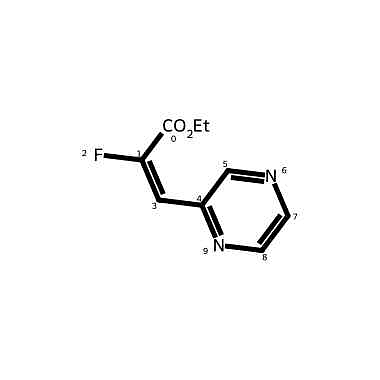 CCOC(=O)/C(F)=C\c1cnccn1